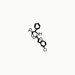 COC(=O)C(NC(=O)c1cc2cc(Cl)ccc2o1)c1ccccc1